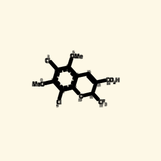 COc1c(Cl)c(OC)c2c(c1Cl)OC(C(F)(F)F)C(C(=O)O)=C2